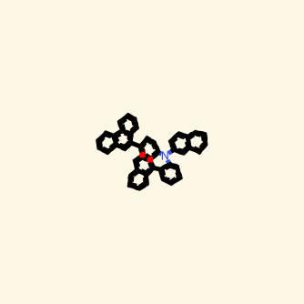 c1ccc(N(c2ccc(-c3cc4ccccc4c4ccccc34)cc2)c2ccc3ccccc3c2)c(-c2cccc3ccccc23)c1